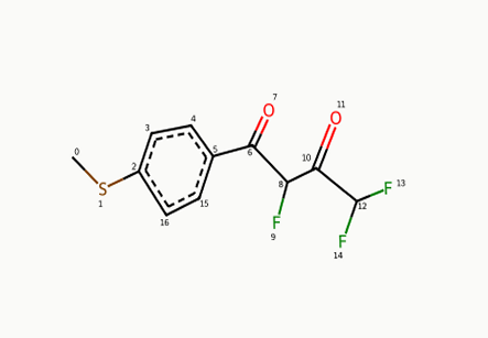 CSc1ccc(C(=O)C(F)C(=O)C(F)F)cc1